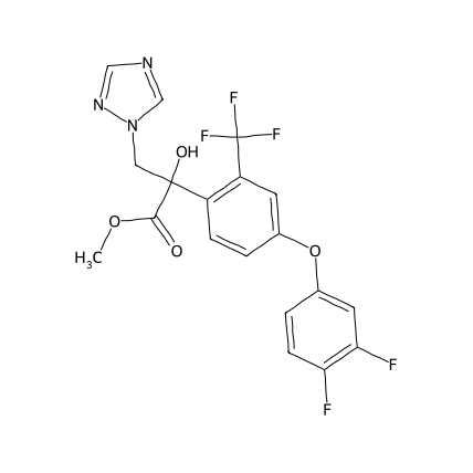 COC(=O)C(O)(Cn1cncn1)c1ccc(Oc2ccc(F)c(F)c2)cc1C(F)(F)F